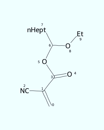 C=C(C#N)C(=O)OC(CCCCCCC)OCC